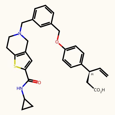 C=C[C@@H](CC(=O)O)c1ccc(OCc2cccc(CN3CCc4sc(C(=O)NC5CC5)cc4C3)c2)cc1